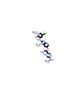 CNC1=CN/C(=C(\C=N)Oc2cnc3nc(Nc4cc(C(F)(F)F)cn(C)c4=O)n(C)c3c2)C=N1